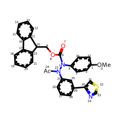 COc1ccc(N(C(=O)OCC2c3ccccc3-c3ccccc32)N(C(C)=O)c2cccc(-c3cs[c]n3)c2)cc1